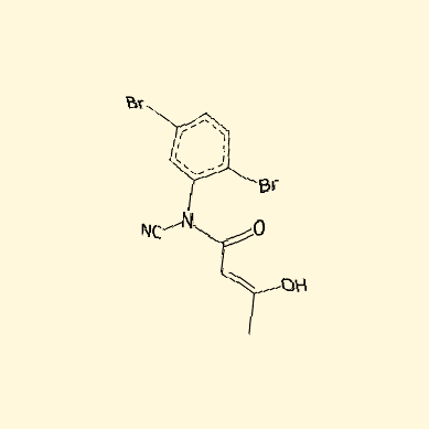 CC(O)=CC(=O)N(C#N)c1cc(Br)ccc1Br